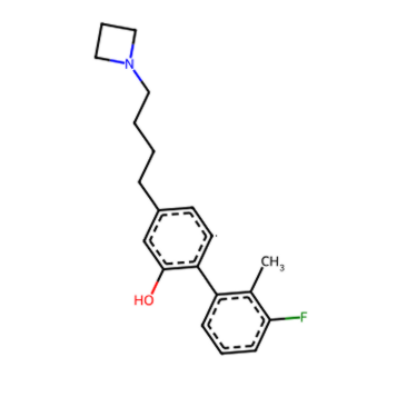 Cc1c(F)cccc1-c1[c]cc(CCCCN2CCC2)cc1O